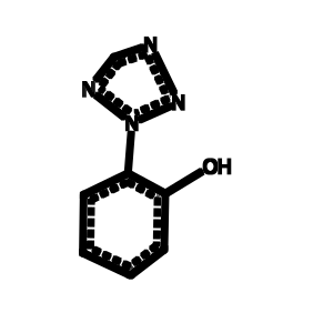 Oc1ccccc1-n1ncnn1